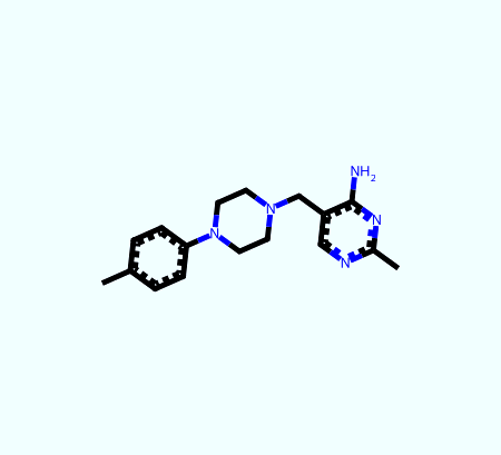 Cc1ccc(N2CCN(Cc3cnc(C)nc3N)CC2)cc1